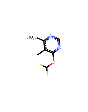 CCOC(=O)c1ncnc(OC(F)F)c1C